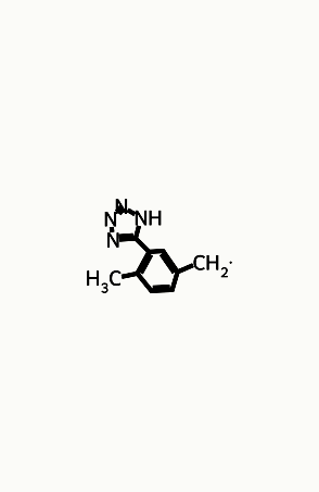 [CH2]c1ccc(C)c(-c2nnn[nH]2)c1